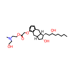 CCCCC[C@@H](O)CC[C@@H]1[C@H]2Cc3cccc(OCC(=O)OCCN(C)CCO)c3C[C@H]2C[C@H]1O